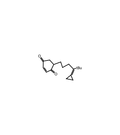 CC(C)(C)C(CCCC1CC(=O)C=CC1=O)=C1CC1